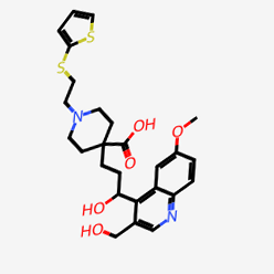 COc1ccc2ncc(CO)c(C(O)CCC3(C(=O)O)CCN(CCSc4cccs4)CC3)c2c1